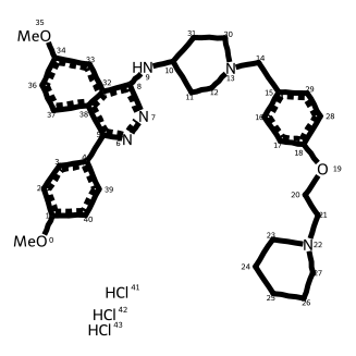 COc1ccc(-c2nnc(NC3CCN(Cc4ccc(OCCN5CCCCC5)cc4)CC3)c3cc(OC)ccc23)cc1.Cl.Cl.Cl